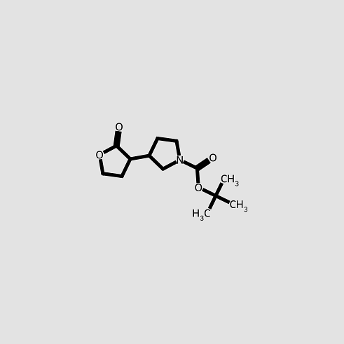 CC(C)(C)OC(=O)N1CCC(C2CCOC2=O)C1